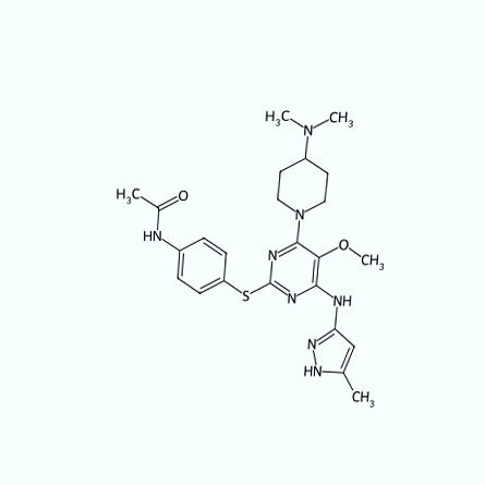 COc1c(Nc2cc(C)[nH]n2)nc(Sc2ccc(NC(C)=O)cc2)nc1N1CCC(N(C)C)CC1